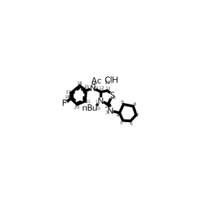 CCCCN1C(=NC2CCCCC2)SCC1N(C(C)=O)c1ccc(F)cc1.Cl